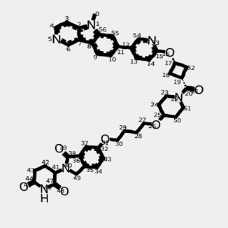 Cn1c2ccncc2c2ccc(-c3ccc(O[C@H]4C[C@@H](C(=O)N5CCC(OCCCCOc6ccc7c(c6)C(=O)N(C6CCC(=O)NC6=O)C7)CC5)C4)nc3)cc21